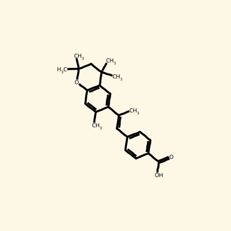 CC(=Cc1ccc(C(=O)O)cc1)c1cc2c(cc1C)OC(C)(C)CC2(C)C